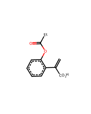 C=C(C(=O)O)c1ccccc1OC(=O)CC